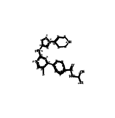 CCC(C#N)NC(=O)c1ccc(-c2nc(Nc3cnn(C4CCNCC4)c3)ncc2C)cc1